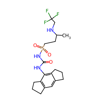 CC(CCS(=O)(=O)NC(=O)Nc1c2c(cc3c1CCC3)CCC2)NCC(F)(F)F